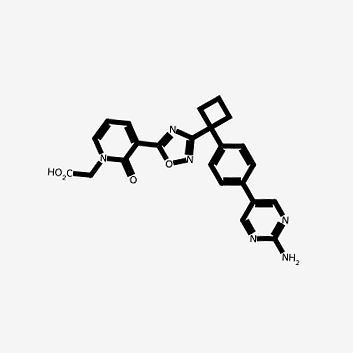 Nc1ncc(-c2ccc(C3(c4noc(-c5cccn(CC(=O)O)c5=O)n4)CCC3)cc2)cn1